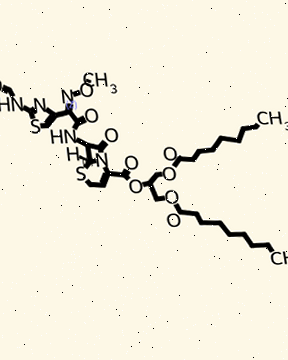 CCCCCCCCC(=O)OCC(COC(=O)CCCCCCCC)OC(=O)C1=CCS[C@@H]2C(NC(=O)/C(=N\OC)c3csc(NC=O)n3)C(=O)N12